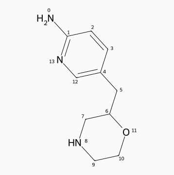 Nc1ccc(CC2CNCCO2)cn1